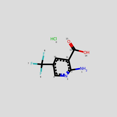 Cl.Nc1ncc(C(F)(F)F)cc1C(=O)O